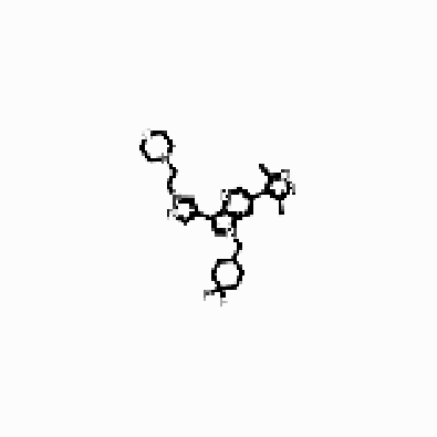 Cc1noc(C)c1-c1cnc2c(-c3cnn(CCN4CCOCC4)c3)cn(CC3CCC(F)(F)CC3)c2c1